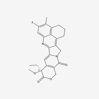 CC[C@@]1(OC)C(=O)OCc2c1cc1n(c2=O)Cc2c-1nc1cc(F)c(C)c3c1c2CCC3